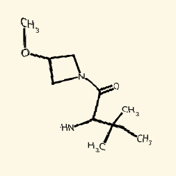 COC1CN(C(=O)C([NH])C(C)(C)C)C1